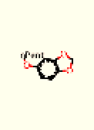 CCCCCOc1ccc2c(c1)OCO2